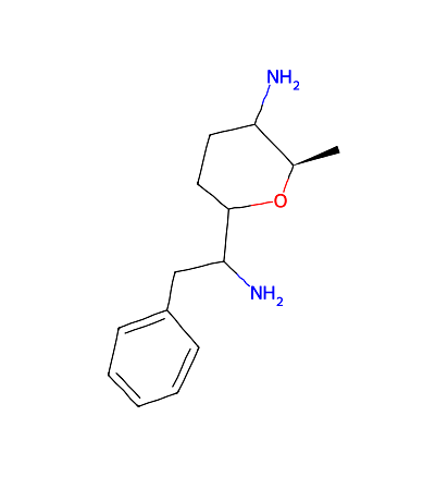 C[C@H]1OC(C(N)Cc2ccccc2)CCC1N